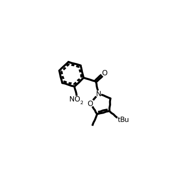 CC1=C(C(C)(C)C)CN(C(=O)c2ccccc2[N+](=O)[O-])O1